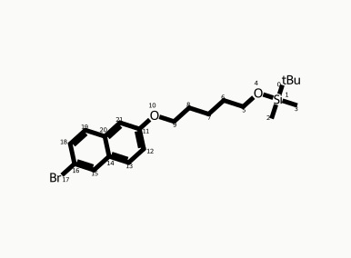 CC(C)(C)[Si](C)(C)OCCCCCOc1ccc2cc(Br)ccc2c1